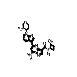 CNc1cc(-c2cnc3n([C@@H]4CCOC[C@H]4OC)cccc2-3)nc2c(C(=O)N[C@H]3CC[C@H]3O)cnn12